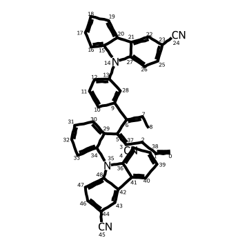 C=CC/C(C#N)=C(\C(=C/C)c1cccc(-n2c3ccccc3c3cc(C#N)ccc32)c1)c1ccccc1-n1c2ccccc2c2cc(C#N)ccc21